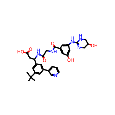 CC(C)(C)c1cc(-c2cccnc2)cc(C(CC(=O)O)NC(=O)CNC(=O)c2cc(O)cc(NC3=NCC(O)CN3)c2)c1